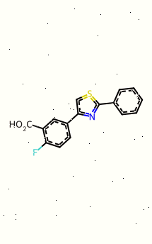 O=C(O)c1cc(-c2csc(-c3ccccc3)n2)ccc1F